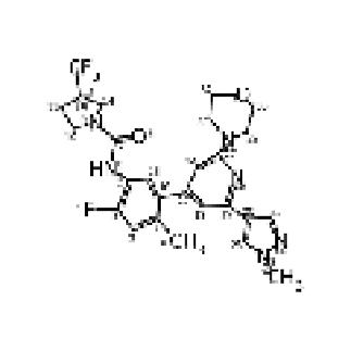 Cc1cc(F)c(NC(=O)N2CC[C@@H](C(F)(F)F)C2)cc1-c1cc(-c2cnn(C)c2)nc(N2CCOCC2)c1